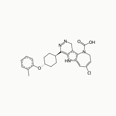 Cc1ccccc1O[C@H]1CC[C@H](C2=c3[nH]c4c(c3CN=N2)N(C(=O)O)CC=C(Cl)C=4)CC1